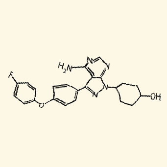 Nc1ncnc2c1c(-c1ccc(Oc3ccc(F)cc3)cc1)nn2C1CCC(O)CC1